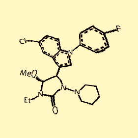 CCN1C(=O)N(N2CCCCC2)C(c2cn(-c3ccc(F)cc3)c3ccc(Cl)cc23)C1OC